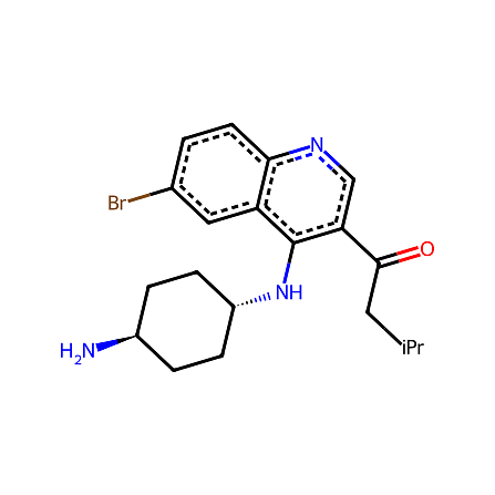 CC(C)CC(=O)c1cnc2ccc(Br)cc2c1N[C@H]1CC[C@H](N)CC1